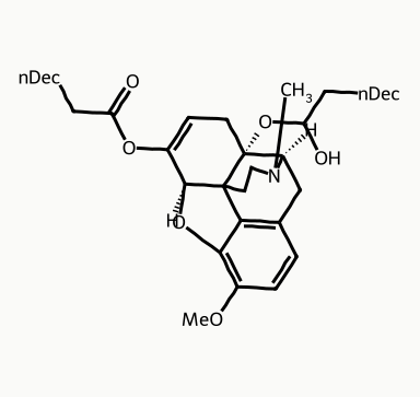 CCCCCCCCCCCC(=O)OC1=CC[C@@]2(OC(O)CCCCCCCCCCC)[C@H]3Cc4ccc(OC)c5c4C2(CCN3C)[C@H]1O5